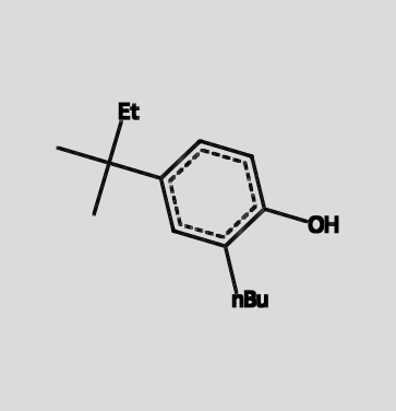 CCCCc1cc(C(C)(C)CC)ccc1O